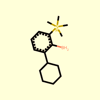 Bc1c(C2CCCCC2)cccc1[SH](C)(C)(C)C